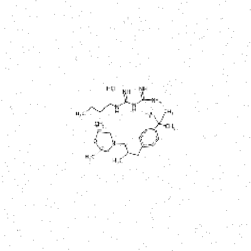 CC(Cc1ccc(C(C)(C)C)cc1)CN1C[C@@H](C)O[C@@H](C)C1.CCCCNC(=N)NC(=N)N.Cl